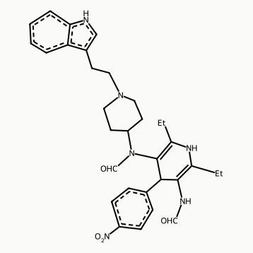 CCC1=C(NC=O)C(c2ccc([N+](=O)[O-])cc2)C(N(C=O)C2CCN(CCc3c[nH]c4ccccc34)CC2)=C(CC)N1